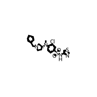 CN(c1ccc(S(=O)(=O)Nc2cscn2)cc1Cl)[C@H]1CCN(Cc2ccccc2)C1